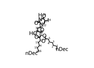 CCCCCCCCCCCCCCCC(=O)OC(C(=O)CCCCCCCCCCCCCCC)[C@H]1O[C@@H](n2cc(I)c(=O)[nH]c2=O)C[C@@H]1O